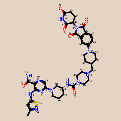 Cc1cc(Nc2nc(N3CCC[C@@H](NC(=O)N4CCN(CC5CCN(c6ccc7c(c6)C(=O)N(C6CCC(=O)NC6=O)C7=O)CC5)CC4)C3)cnc2C(N)=O)sn1